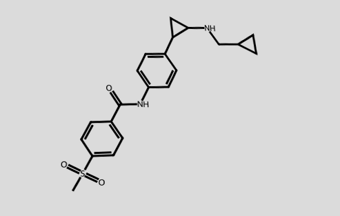 CS(=O)(=O)c1ccc(C(=O)Nc2ccc(C3CC3NCC3CC3)cc2)cc1